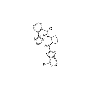 O=C(N[C@H]1CCC[C@H]1Nc1nc2c(F)cccc2s1)c1ccccc1-n1nccn1